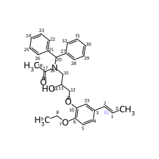 C/C=C/c1ccc(OCC)c(OCC(O)CN(C(C)=O)C(c2ccccc2)c2ccccc2)c1